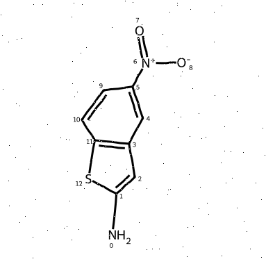 Nc1cc2cc([N+](=O)[O-])ccc2s1